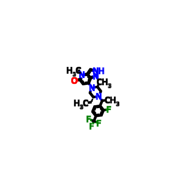 CC[C@@H]1CN(c2cc(=O)n(C)c3c[nH]nc23)[C@@H](C)CN1C(C)c1ccc(C(F)(F)F)cc1F